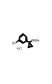 CNC1(c2cccc(Br)c2)CC1.Cl